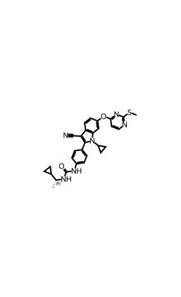 CSc1nccc(Oc2ccc3c(C#N)c(-c4ccc(NC(=O)N[C@H](C)C5CC5)cc4)n(C4CC4)c3c2)n1